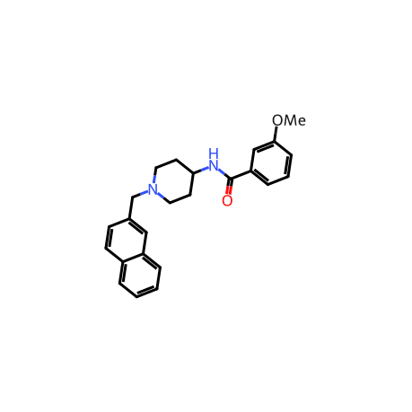 COc1cccc(C(=O)NC2CCN(Cc3ccc4ccccc4c3)CC2)c1